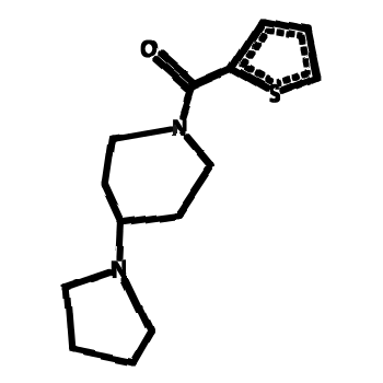 O=C(c1cccs1)N1CCC(N2CCCC2)CC1